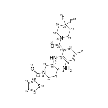 Cc1cc(N)c(N[C@@H]2CCCN(C(=O)c3cccs3)C2)c(C(=O)N2CCC(F)(F)CC2)c1